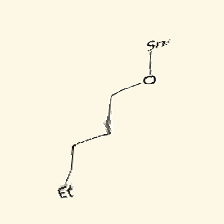 CCCCC[O][Sn]